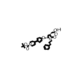 CC(C)(C)OC(=O)N1CCC(c2ccc(OC[C@@H]3C[C@@H](CC(=O)O)C(=O)N3CCCc3ccccc3)cc2)CC1